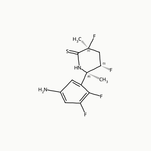 C[C@]1(F)C[C@H](F)[C@@](C)(c2cc(N)cc(F)c2F)NC1=S